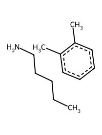 CCCCCN.Cc1ccccc1C